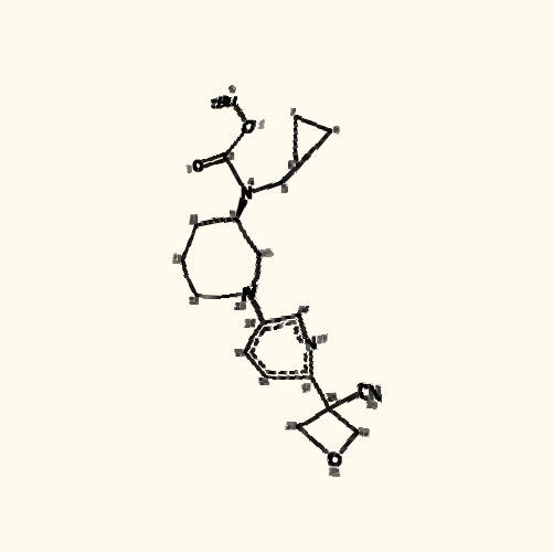 CC(C)(C)OC(=O)N(CC1CC1)[C@@H]1CCCN(c2ccc(C3(C#N)COC3)nc2)C1